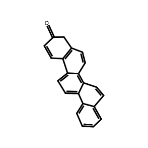 O=C1C=Cc2c(ccc3c2ccc2c4ccccc4ccc32)C1